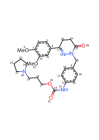 COc1ccc(C2=NN(Cc3ccc(NC(=O)OCCCN4CCCC4)cc3)C(=O)CC2)cc1OC